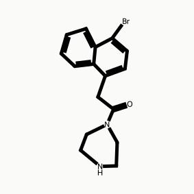 O=C(Cc1ccc(Br)c2ccccc12)N1CCNCC1